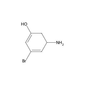 NC1C=C(Br)C=C(O)C1